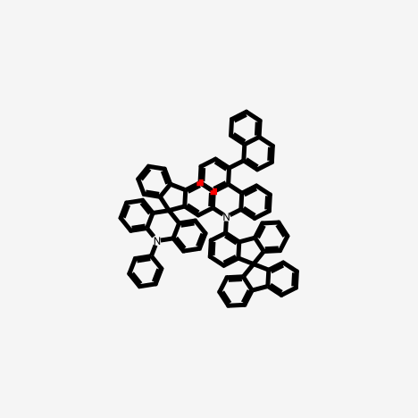 c1ccc(N2c3ccccc3C3(c4ccccc4-c4ccc(N(c5ccccc5-c5ccccc5-c5cccc6ccccc56)c5cccc6c5-c5ccccc5C65c6ccccc6-c6ccccc65)cc43)c3ccccc32)cc1